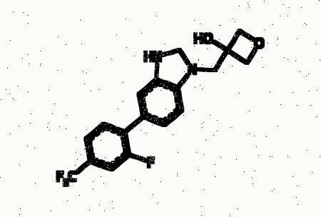 OC1(CN2CNc3cc(-c4ccc(C(F)(F)F)cc4F)ccc32)COC1